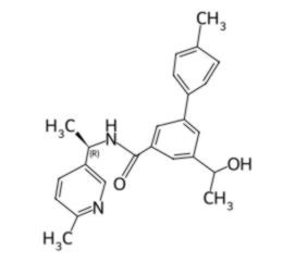 Cc1ccc(-c2cc(C(=O)N[C@H](C)c3ccc(C)nc3)cc(C(C)O)c2)cc1